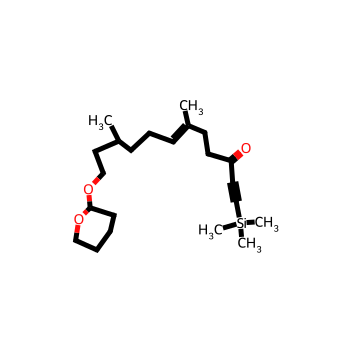 C/C(=C\CCC(C)CCOC1CCCCO1)CCC(=O)C#C[Si](C)(C)C